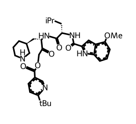 COc1cccc2[nH]c(C(=O)N[C@@H](CC(C)C)C(=O)N[C@@H](C[C@@H]3CCCNC3)C(=O)COC(=O)c3ccc(C(C)(C)C)nc3)cc12